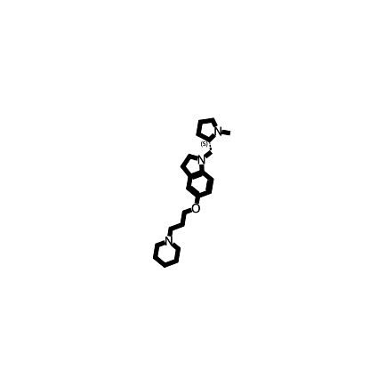 CN1CCC[C@H]1CN1CCc2cc(OCCCN3CCCCC3)ccc21